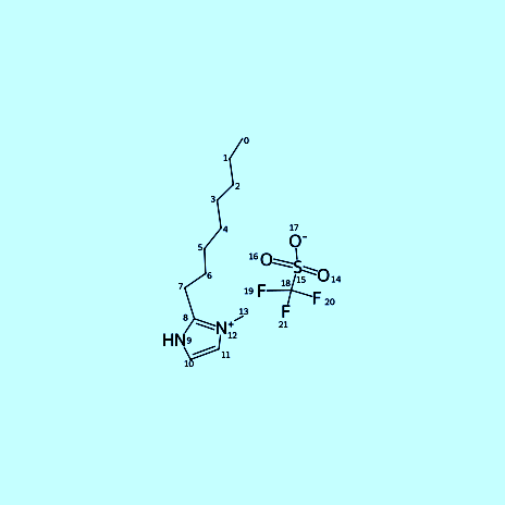 CCCCCCCCc1[nH]cc[n+]1C.O=S(=O)([O-])C(F)(F)F